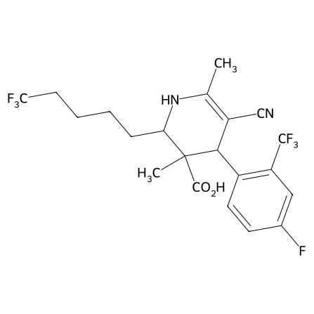 CC1=C(C#N)C(c2ccc(F)cc2C(F)(F)F)C(C)(C(=O)O)C(CCCCC(F)(F)F)N1